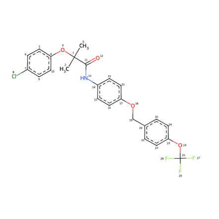 CC(C)(Oc1ccc(Cl)cc1)C(=O)Nc1ccc(OCc2ccc(OC(F)(F)F)cc2)cc1